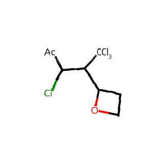 CC(=O)C(Cl)C(C1CCO1)C(Cl)(Cl)Cl